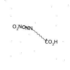 C=C(CCCCCCCCCCCCN1CCN(c2ccc([N+](=O)[O-])cc2)CC1)C(=O)O